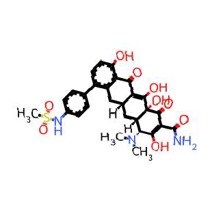 CN(C)[C@H]1C(O)=C(C(N)=O)C(=O)[C@@]2(O)C(O)=C3C(=O)c4c(O)ccc(-c5ccc(NS(C)(=O)=O)cc5)c4C[C@H]3C[C@@H]12